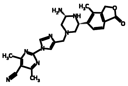 Cc1nc(-n2cnc(CN3C[C@@H](c4ccc5c(c4C)COC5=O)N[C@@H](N)C3)c2)nc(C)c1C#N